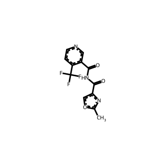 Cc1nc(C(=O)NC(=O)c2cnccc2C(F)(F)F)co1